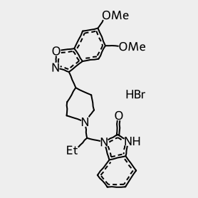 Br.CCC(N1CCC(c2noc3cc(OC)c(OC)cc23)CC1)n1c(=O)[nH]c2ccccc21